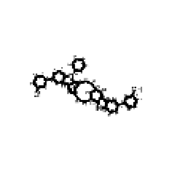 Cc1c2cc3c4cc(-c5cccc(O)c5)ccc4n(-c4ccccc4)c3c1CCc1cc(c3[nH]c4ccc(-c5cccc(O)c5)cc4c3c1)CC2